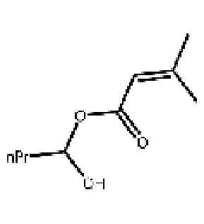 CCCC(O)OC(=O)C=C(C)C